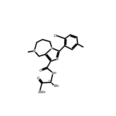 CNC(=O)[C@@H](NC(=O)c1nc(-c2cc(C)ccc2Cl)n2c1CN(C)CCC2)C(C)(C)C